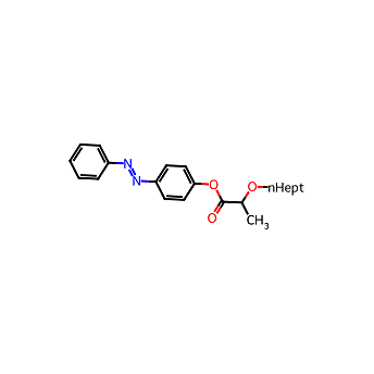 CCCCCCCOC(C)C(=O)Oc1ccc(N=Nc2ccccc2)cc1